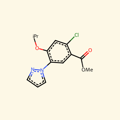 COC(=O)c1cc(-n2cccn2)c(OC(C)C)cc1Cl